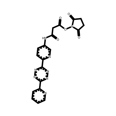 O=C(CC(=O)ON1C(=O)CCC1=O)Nc1ccc(-c2nnc(-c3ccccn3)nn2)nc1